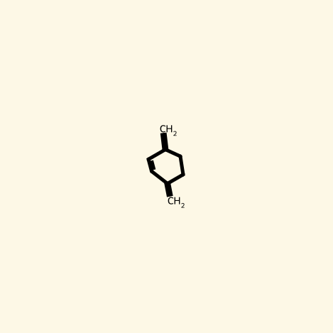 C=C1C=CC(=C)CC1